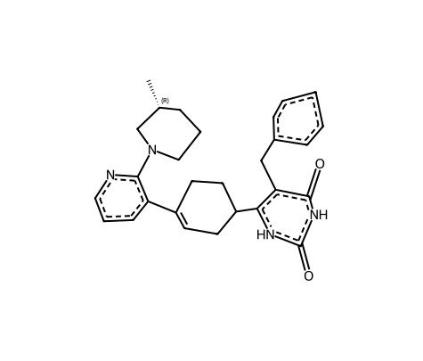 C[C@@H]1CCCN(c2ncccc2C2=CCC(c3[nH]c(=O)[nH]c(=O)c3Cc3ccccc3)CC2)C1